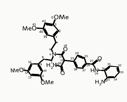 COc1cc(CCN(CCc2cc(OC)cc(OC)c2)C(=O)C(C(N)=O)c2ccc(C(=O)Nc3ccccc3N)cc2)cc(OC)c1